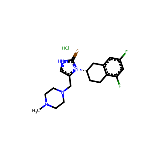 CN1CCN(Cc2c[nH]c(=S)n2[C@H]2CCc3c(F)cc(F)cc3C2)CC1.Cl